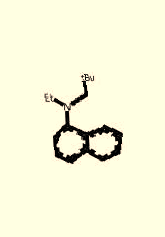 CCN(CC(C)(C)C)c1cccc2ccccc12